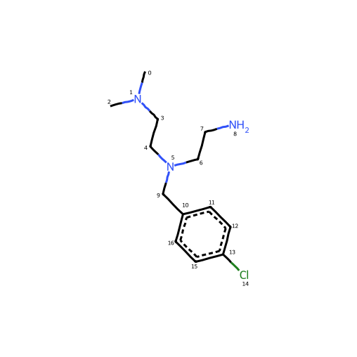 CN(C)CCN(CCN)Cc1ccc(Cl)cc1